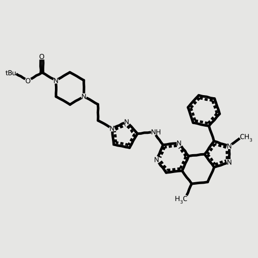 CC1Cc2nn(C)c(-c3ccccc3)c2-c2nc(Nc3ccn(CCN4CCN(C(=O)OC(C)(C)C)CC4)n3)ncc21